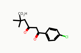 CC(C)(CC(=O)CC(=O)c1ccc(Cl)cc1)C(=O)O